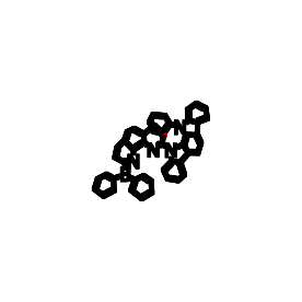 c1ccc(B(c2ccccc2)c2ccc3ccc4ccc(-n5c6ccccc6c6ccc7c8ccccc8n(-c8ccccc8)c7c65)nc4c3n2)cc1